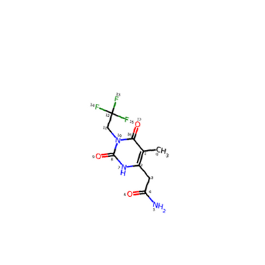 Cc1c(CC(N)=O)[nH]c(=O)n(CC(F)(F)F)c1=O